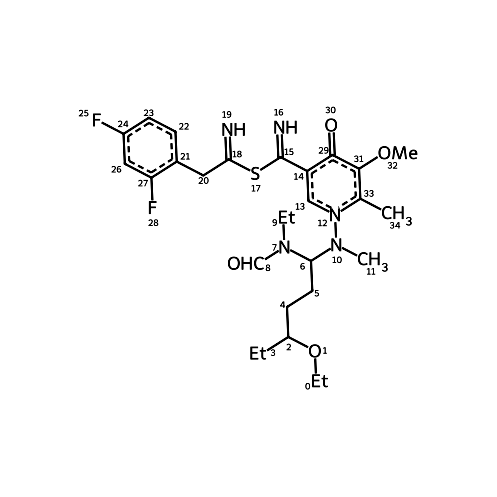 CCOC(CC)CCC(N(C=O)CC)N(C)n1cc(C(=N)SC(=N)Cc2ccc(F)cc2F)c(=O)c(OC)c1C